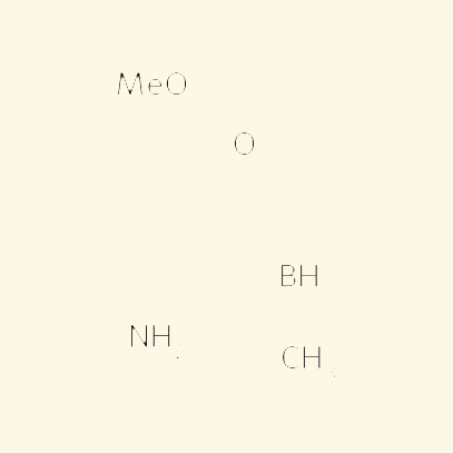 CB[C@H](CN)OOC